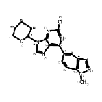 Cn1ncc2cc(-c3nc(Cl)nc4c3ncn4C3CCCCO3)ccc21